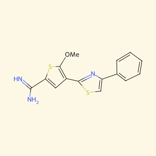 COc1sc(C(=N)N)cc1-c1nc(-c2ccccc2)cs1